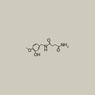 COc1ccc(CNC(=O)CCC(N)=O)cc1O